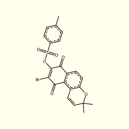 Cc1ccc(S(=O)(=O)OC2=C(Br)C(=O)c3c(ccc4c3C=CC(C)(C)O4)C2=O)cc1